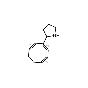 C1=C/CC\C=C/C(C2CCCN2)=C\1